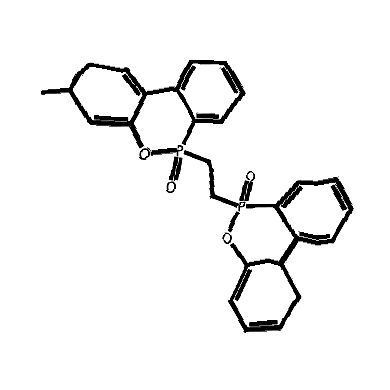 CC1C=C2OP(=O)(CCP3(=O)OC4=CC=CCC4c4ccccc43)c3ccccc3C2=CC1